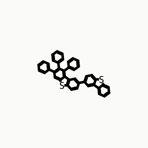 c1ccc(-c2cc3sc4ccc(-c5ccc6sc7ccccc7c6c5)cc4c3c(-c3ccccc3)c2-c2ccccc2)cc1